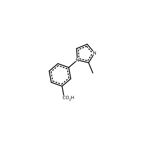 Cc1nccn1-c1cccc(C(=O)O)c1